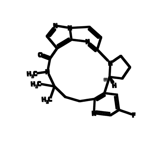 CN1C(=O)c2cnn3ccc(nc23)N2CCC[C@@H]2c2cc(F)cnc2CCC1(C)C